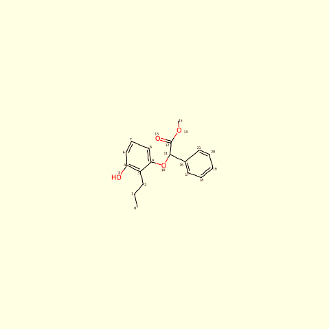 CCCc1c(O)cccc1OC(C(=O)OC)c1ccccc1